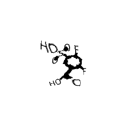 O=C(O)c1cc(S(=O)(=O)O)c(F)cc1F